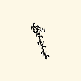 C=C/C(=C\C)N=N/C(C=C)=C/C=C(\C=C)N=N/C(C=C)=C/C=C(\C=C)N=Nc1ccc2nc(C=C)c(C=C)n2c1O